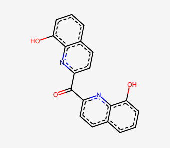 O=C(c1ccc2cccc(O)c2n1)c1ccc2cccc(O)c2n1